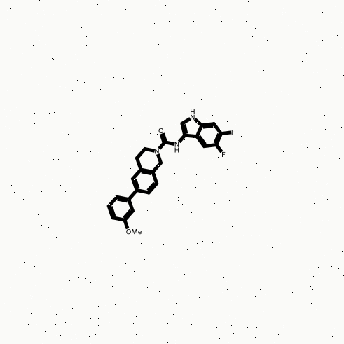 COc1cccc(-c2ccc3c(c2)CCN(C(=O)Nc2c[nH]c4cc(F)c(F)cc24)C3)c1